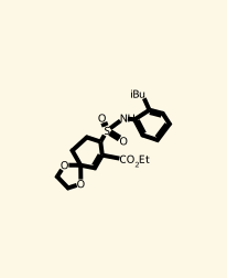 CCOC(=O)C1=CC2(CCC1S(=O)(=O)Nc1ccccc1C(C)CC)OCCO2